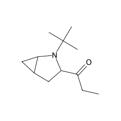 CCC(=O)C1CC2CC2N1C(C)(C)C